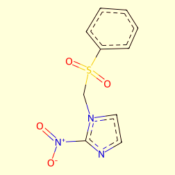 O=[N+]([O-])c1nccn1CS(=O)(=O)c1ccccc1